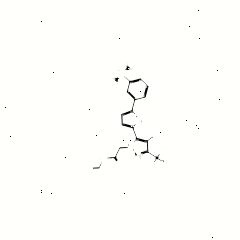 CCOC(=O)Cn1nc(C(F)(F)F)c(Br)c1-c1ccc(-c2cccc(S(C)(=O)=O)c2)[nH]1